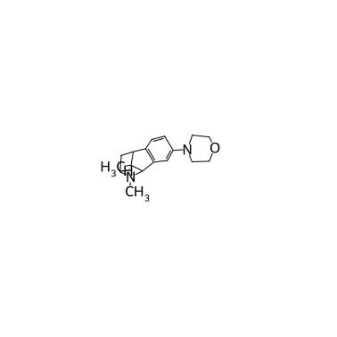 C[C@H]1C2CCN(C)C1c1cc(N3CCOCC3)ccc12